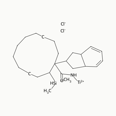 C[SiH](C)C1CCCCCCCCCCC1(C(=O)[NH][Ti+2])C1CC2C=CC=CC2C1.[Cl-].[Cl-]